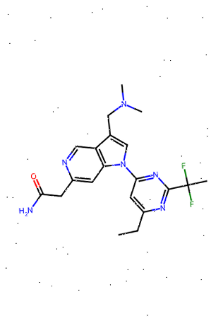 CCc1cc(-n2cc(CN(C)C)c3cnc(CC(N)=O)cc32)nc(C(C)(F)F)n1